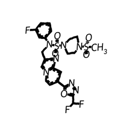 CS(=O)(=O)N1CCN(S(=O)(=O)N(Cc2cn3ccc(-c4nnc(C(F)F)o4)cc3n2)c2cccc(F)c2)CC1